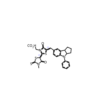 CN1C(=O)/C(=c2\s/c(=C\c3ccc4c(c3)C3CCCC3N4c3ccccc3)c(=O)n2CC(=O)O)SC1=S